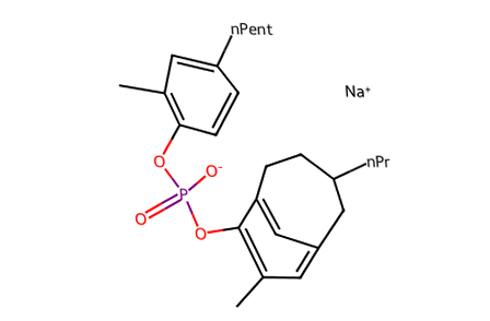 CCCCCc1ccc(OP(=O)([O-])Oc2c(C)cc3cc2CCC(CCC)C3)c(C)c1.[Na+]